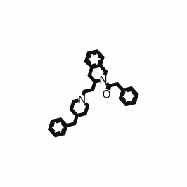 O=C(Cc1ccccc1)N1Cc2ccccc2CC1CCN1CCC(Cc2ccccc2)CC1